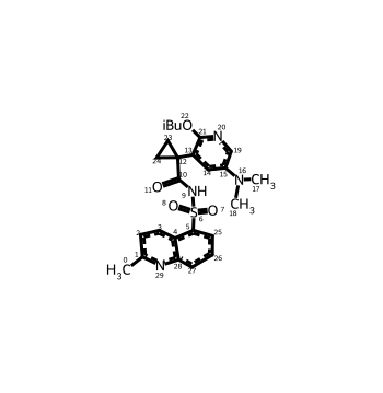 Cc1ccc2c(S(=O)(=O)NC(=O)C3(c4cc(N(C)C)cnc4OCC(C)C)CC3)cccc2n1